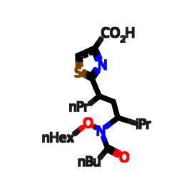 CCCCCCON(C(=O)CCCC)C(CC(CCC)c1nc(C(=O)O)cs1)C(C)C